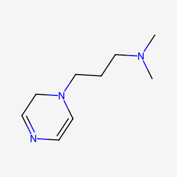 CN(C)CCCN1C=CN=CC1